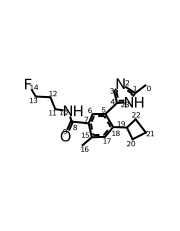 Cc1ncc(-c2cc(C(=O)NCCCF)c(C)cc2C2CCC2)[nH]1